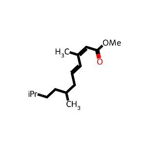 COC(=O)C=C(C)C=CCC(C)CCC(C)C